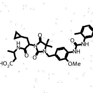 COc1cc(CN2C(=O)N(C(CC3CC3)C(=O)NC(C)CC(=O)O)C(=O)C2(C)C)ccc1NC(=O)Nc1ccccc1C